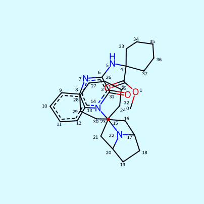 COC(=O)C1(Nc2nc3ccccc3n(C3CC4CCC(C3)N4C3CCCCCCC3)c2=O)CCCCC1